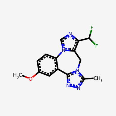 COc1ccc2c(c1)-c1nnc(C)n1Cc1c(C(F)F)ncn1-2